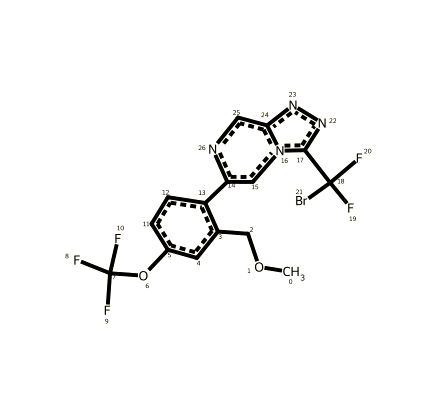 COCc1cc(OC(F)(F)F)ccc1-c1cn2c(C(F)(F)Br)nnc2cn1